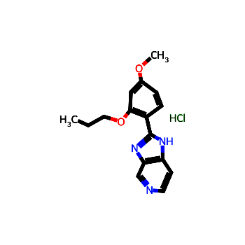 CCCOc1cc(OC)ccc1-c1nc2cnccc2[nH]1.Cl